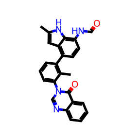 Cc1cc2c(-c3cccc(-n4cnc5ccccc5c4=O)c3C)ccc(NC=O)c2[nH]1